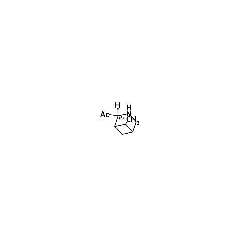 CC(=O)[C@H]1NCC2CC1C2C